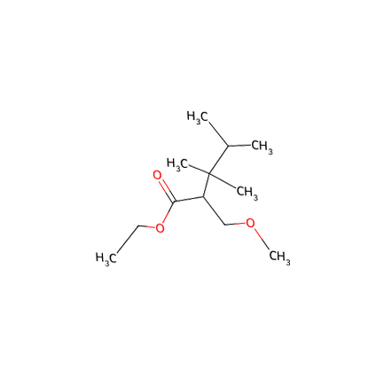 CCOC(=O)C(COC)C(C)(C)C(C)C